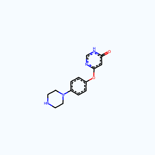 O=c1cc(Oc2ccc(N3CCNCC3)cc2)nc[nH]1